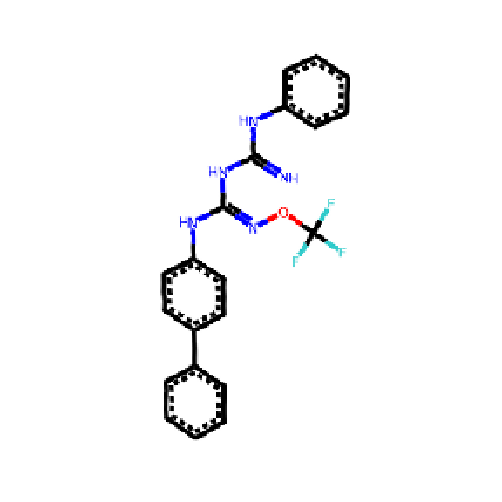 N=C(NC(=NOC(F)(F)F)Nc1ccc(-c2ccccc2)cc1)Nc1ccccc1